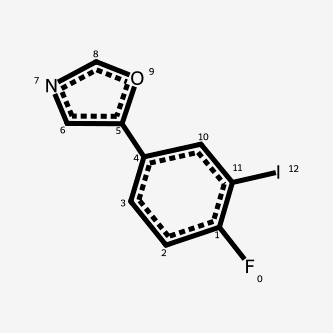 Fc1ccc(-c2cnco2)cc1I